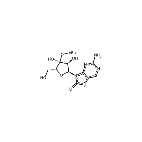 CCCCO[C@]1(O)[C@@H](CO)O[C@H](n2c(=O)sc3cnc(N)nc32)[C@@H]1O